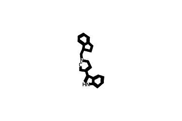 C1=C(c2c[nH]c3ccccc23)CCN(CC2CCc3ccccc32)C1